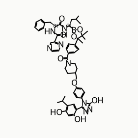 CC(C)C[C@H](NC(=O)[C@H](Cc1ccccc1)NC(=O)c1cnccn1)B1OC(C)(C)C(C)(c2ccc(C(=O)N3CCC(COc4ccc(-n5c(O)nnc5-c5cc(C(C)C)c(O)cc5O)cc4)CC3)cc2)O1